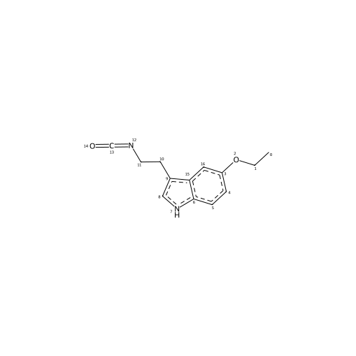 CCOc1ccc2[nH]cc(CCN=C=O)c2c1